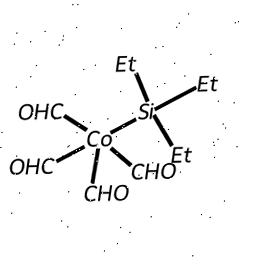 CC[Si](CC)(CC)[Co]([CH]=O)([CH]=O)([CH]=O)[CH]=O